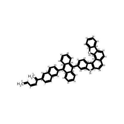 C=C/C=C\C(=C)c1ccc2cc(-c3c4ccccc4c(-c4ccc5c(c4)sc4ccc6ccc7c8ccccc8oc7c6c45)c4ccccc34)ccc2c1